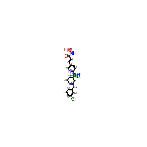 Cl.Cl.O=C(/C=C/c1ccc(N[C@@H]2CCCN(Cc3cccc(Cl)c3)C2)nc1)NO